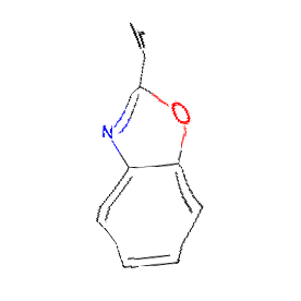 [Ir][c]1nc2ccccc2o1